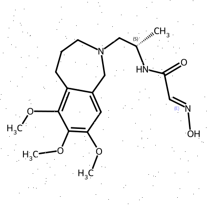 COc1cc2c(c(OC)c1OC)CCCN(C[C@H](C)NC(=O)/C=N/O)C2